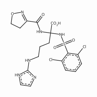 O=C(NC(CCCNc1ncc[nH]1)(NS(=O)(=O)c1c(Cl)cccc1Cl)C(=O)O)C1=NOCC1